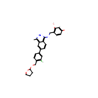 COc1ccc(CNc2nnc(C)c3cc(-c4ccc(COC5CCCO5)c(Cl)c4)ccc23)c(OC)c1